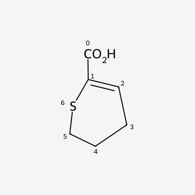 O=C(O)C1=CCCCS1